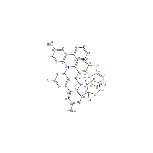 Cc1cc2c3c(c1)N(c1ccc(C(C)(C)C)cc1-c1ccccc1)c1ccc4sc5ccccc5c4c1B3N1c3c-2cc(C(C)(C)C)cc3C2(C)CCCCC12C